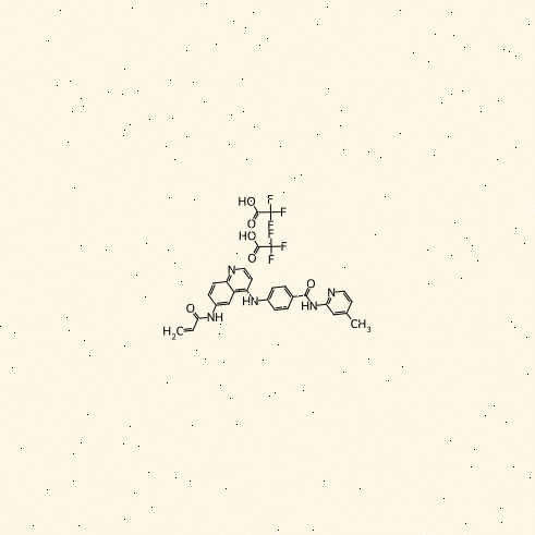 C=CC(=O)Nc1ccc2nccc(Nc3ccc(C(=O)Nc4cc(C)ccn4)cc3)c2c1.O=C(O)C(F)(F)F.O=C(O)C(F)(F)F